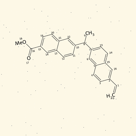 C=Cc1ccc2cc([C](C)c3ccc4cc(C(=O)OC)ccc4c3)ccc2c1